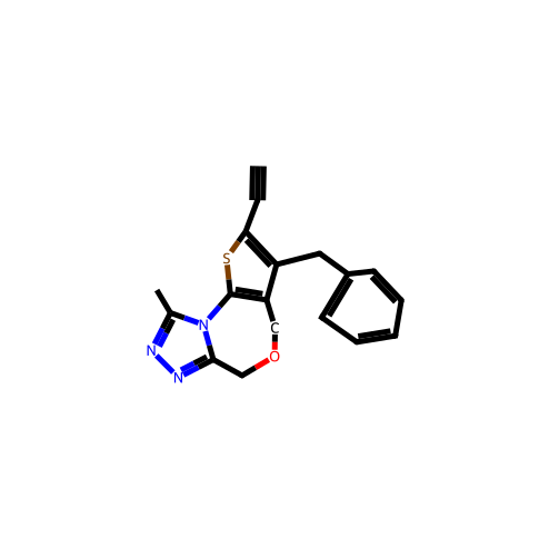 C#Cc1sc2c(c1Cc1ccccc1)COCc1nnc(C)n1-2